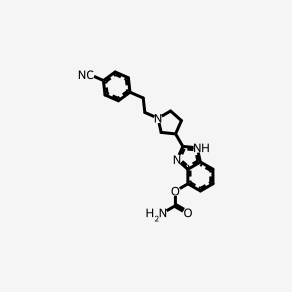 N#Cc1ccc(CCN2CCC(c3nc4c(OC(N)=O)cccc4[nH]3)C2)cc1